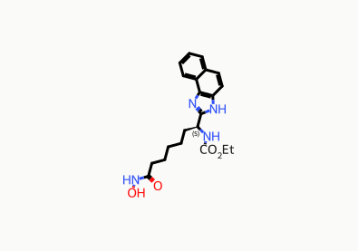 CCOC(=O)N[C@@H](CCCCCC(=O)NO)c1nc2c(ccc3ccccc32)[nH]1